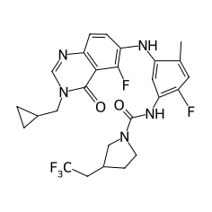 Cc1cc(F)c(NC(=O)N2CCC(CC(F)(F)F)C2)cc1Nc1ccc2ncn(CC3CC3)c(=O)c2c1F